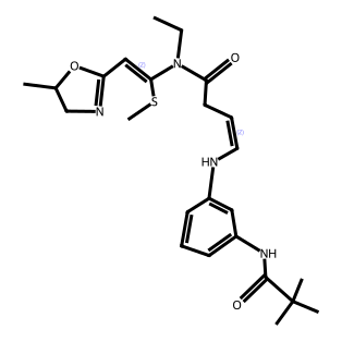 CCN(C(=O)C/C=C\Nc1cccc(NC(=O)C(C)(C)C)c1)/C(=C/C1=NCC(C)O1)SC